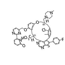 Cc1c2ccc(c1Cl)C[C@H](CN1CCN(C)CC1)COc1ccc(OCc3ccnc(-c4cccc(=O)n4C)n3)c(c1)C[C@H](C(=O)O)Cc1ncnc3sc(-c4ccc(F)cc4)c-2c13